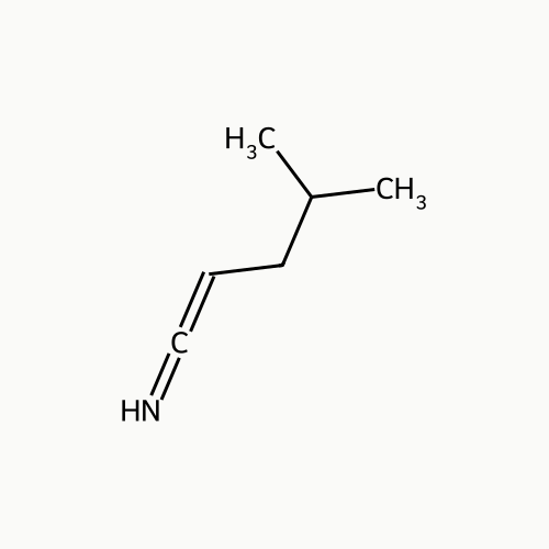 CC(C)CC=C=N